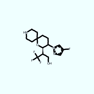 OCC([C@H]1OC2(CCNCC2)CCC1n1cc(F)cn1)C(F)(F)F